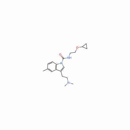 Cc1ccc2c(c1)c(CCN(C)C)cn2C(=O)NCCOC1CC1